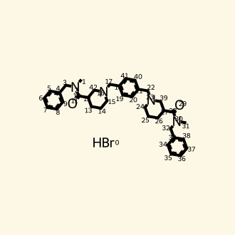 Br.CN(Cc1ccccc1)C(=O)C1CCCN(Cc2ccc(CN3CCCC(C(=O)N(C)Cc4ccccc4)C3)cc2)C1